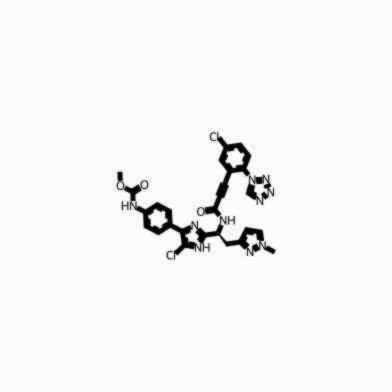 COC(=O)Nc1ccc(-c2nc([C@H](Cc3ccn(C)n3)NC(=O)C#Cc3cc(Cl)ccc3-n3cnnn3)[nH]c2Cl)cc1